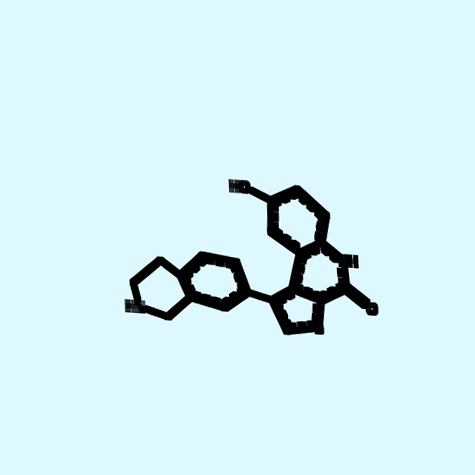 O=c1[nH]c2ccc(O)cc2c2c(-c3ccc4c(c3)CNCC4)csc12